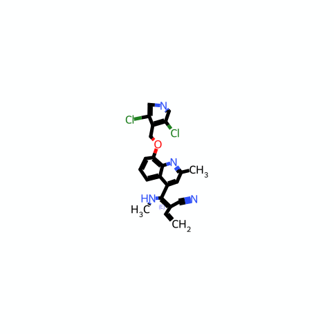 C=C/C(C#N)=C(\NC)c1cc(C)nc2c(OCc3c(Cl)cncc3Cl)cccc12